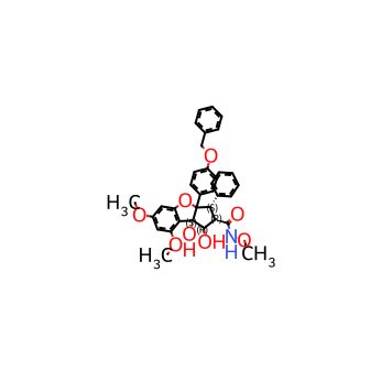 CONC(=O)[C@@H]1[C@@H](c2ccccc2)C2(c3ccc(OCc4ccccc4)cc3)Oc3cc(OC)cc(OC)c3[C@]2(O)[C@@H]1O